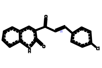 O=C(/C=C/c1ccc(Cl)cc1)c1cc2ccccc2[nH]c1=O